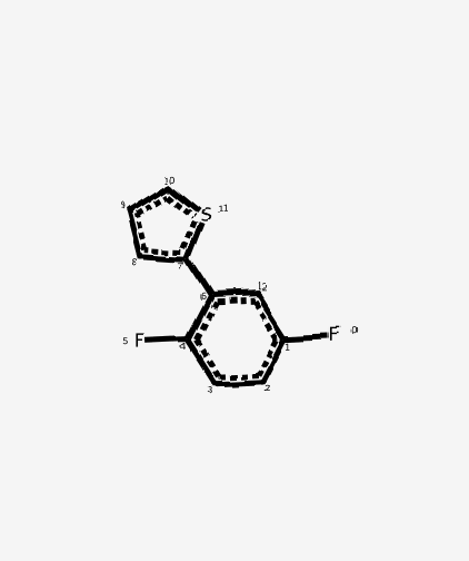 Fc1ccc(F)c(-c2cc[c]s2)c1